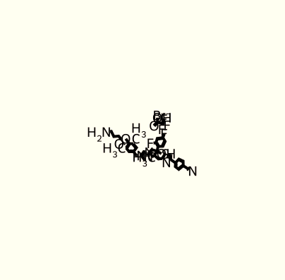 Cc1cc(C[n+]2cnn(CC(O)(c3ccc(F)cc3F)C(C)Cc3nc(-c4ccc(C#N)cc4)cs3)c2)cc(C)c1OC(=O)CCCN.O=C(O)C(F)(F)F.[Br-]